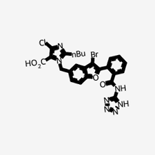 CCCCc1nc(Cl)c(C(=O)O)n1Cc1ccc2oc(-c3ccccc3C(=O)Nc3nnn[nH]3)c(Br)c2c1